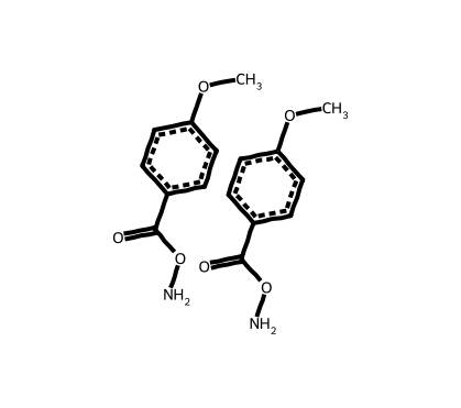 COc1ccc(C(=O)ON)cc1.COc1ccc(C(=O)ON)cc1